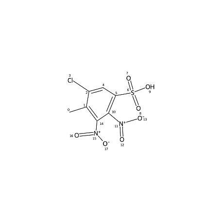 Cc1c(Cl)cc(S(=O)(=O)O)c([N+](=O)[O-])c1[N+](=O)[O-]